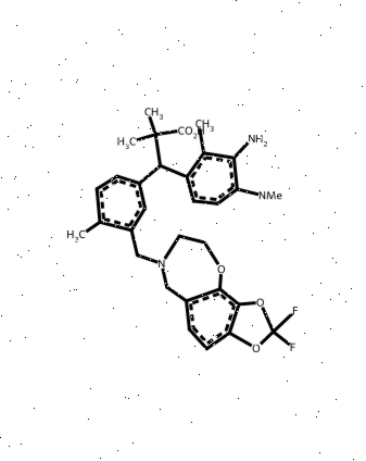 CNc1ccc(C(c2ccc(C)c(CN3CCOc4c(ccc5c4OC(F)(F)O5)C3)c2)C(C)(C)C(=O)O)c(C)c1N